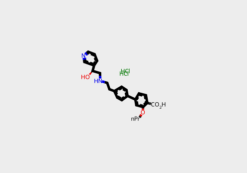 CCCOc1cc(-c2ccc(CCNC[C@@H](O)c3cccnc3)cc2)ccc1C(=O)O.Cl.Cl